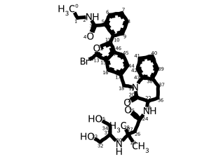 CCNC(=O)c1ccccc1-c1oc(Br)c2cc(CN3C(=O)C(NC(=O)CC(C)(C)NC(CO)CO)CCc4ccccc43)ccc12